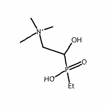 CCP(=O)(O)C(O)C[N+](C)(C)C